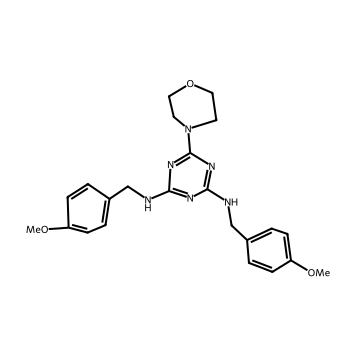 COc1ccc(CNc2nc(NCc3ccc(OC)cc3)nc(N3CCOCC3)n2)cc1